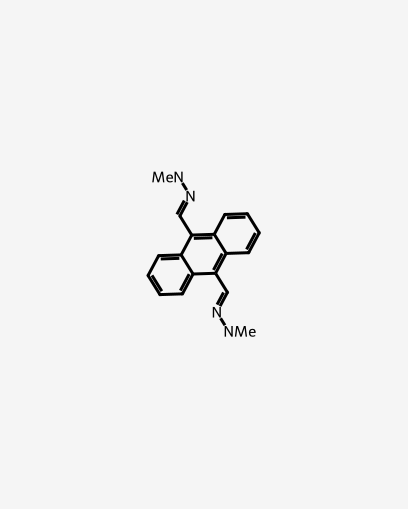 CNN=Cc1c2ccccc2c(C=NNC)c2ccccc12